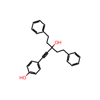 Oc1ccc(C#CC(O)(CCc2ccccc2)CCc2ccccc2)cc1